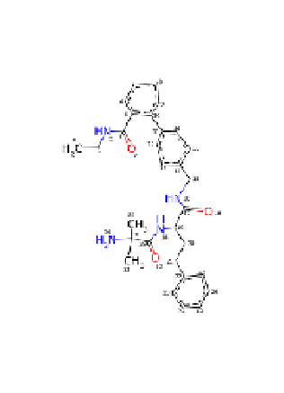 CCNC(=O)c1ccccc1-c1ccc(CNC(=O)C(CCc2ccccc2)NC(=O)C(C)(C)N)cc1